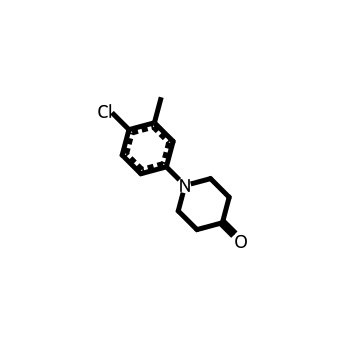 Cc1cc(N2CCC(=O)CC2)ccc1Cl